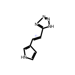 C(=C\c1nnn[nH]1)/c1cc[nH]c1